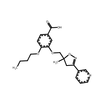 CCCCOc1ccc(C(=O)O)cc1OCC1(C)CC(c2cccnc2)=NO1